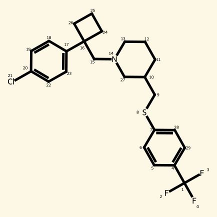 FC(F)(F)c1ccc(SCC2CCCN(CC3(c4ccc(Cl)cc4)CCC3)C2)cc1